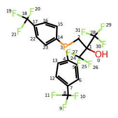 OC(CP(c1ccc(C(F)(F)F)cc1)c1ccc(C(F)(F)F)cc1)(C(F)(F)F)C(F)(F)F